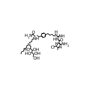 CCCCCCN(CCCN[C@@H](CCc1ccc(CCCCNC(=N)NC(=O)c2nc(Cl)c(C)nc2N)cc1)C(N)=O)C[C@H](O)[C@@H](O)[C@H](O)[C@H](O)CO